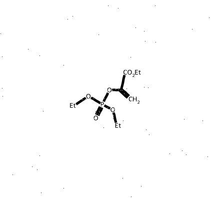 C=C(OP(=O)(OCC)OCC)C(=O)OCC